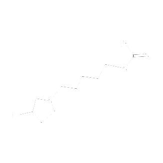 CC(C)(C)C1CCN(CCCCCNC(=N)N)C1